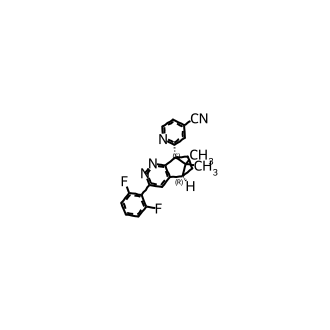 CC1(C)[C@H]2CC[C@]1(c1cc(C#N)ccn1)c1nnc(-c3c(F)cccc3F)cc12